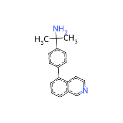 CC(C)(N)c1ccc(-c2cccc3cnccc23)cc1